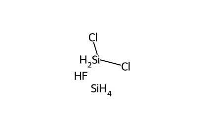 Cl[SiH2]Cl.F.[SiH4]